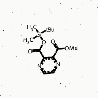 COC(=O)c1nccnc1C(=O)O[Si](C)(C)C(C)(C)C